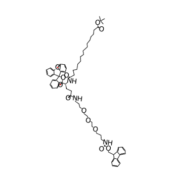 CC(C)(C)OC(=O)CCCCCCCCCCCCCCC(=O)N[C@@H](CCC(=O)NCCCOCCOCCOCCCNC(=O)OCC1c2ccccc2-c2ccccc21)C(=O)OC(c1ccccc1)(c1ccccc1)c1ccccc1Cl